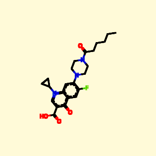 CCCCCC(=O)N1CCN(c2cc3c(cc2F)c(=O)c(C(=O)O)cn3C2CC2)CC1